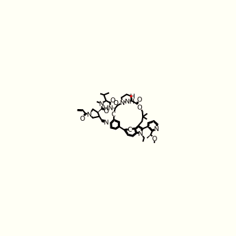 C=CC(=O)N1CC(C#N)[C@H](C(=O)N(C)C(C(=O)N[C@H]2Cc3cccc(c3)-c3ccc4c(c3)c(c(-c3cccnc3[C@H](C)OC)n4CC)CC(C)(C)COC(=O)[C@@H]3CCCN(N3)C2=O)C(C)C)C1